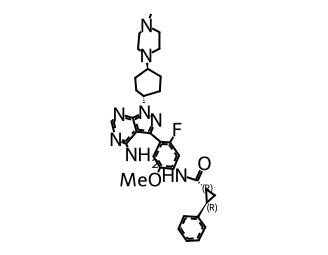 COc1cc(-c2nn([C@H]3CC[C@H](N4CCN(C)CC4)CC3)c3ncnc(N)c23)c(F)cc1NC(=O)[C@@H]1C[C@H]1c1ccccc1